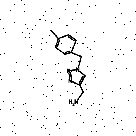 Cc1ccc(Cn2cc(CN)nn2)cc1